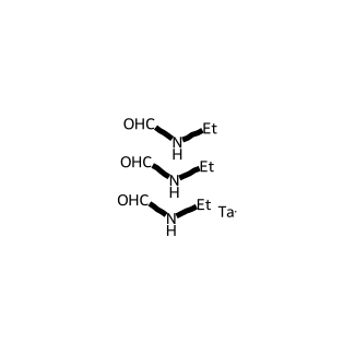 CCNC=O.CCNC=O.CCNC=O.[Ta]